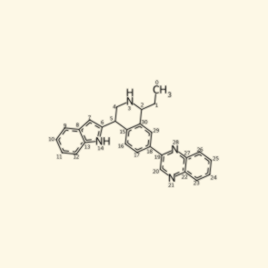 CCC1NCC(c2cc3ccccc3[nH]2)c2ccc(-c3cnc4ccccc4n3)cc21